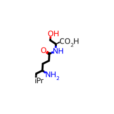 CC(C)CC(N)CCC(=O)N[C@@H](CO)C(=O)O